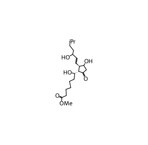 COC(=O)CCCCCC(O)[C@H]1C(=O)CC(O)[C@@H]1C=CC(O)CCC(C)C